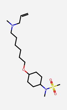 C=CCN(C)CCCCCCOC1CCC(N(C)S(C)(=O)=O)CC1